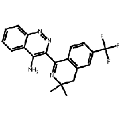 CC1(C)Cc2cc(C(F)(F)F)ccc2C(c2nnc3ccccc3c2N)=N1